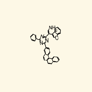 N/C=C(/c1nc(-c2ccccc2)nc(-c2ccc3c(ccc4ccc5ccccc5c43)c2)n1)c1coc2ccccc12